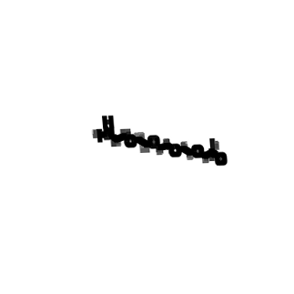 O=C(I)COCCOCCOCCOCCNI